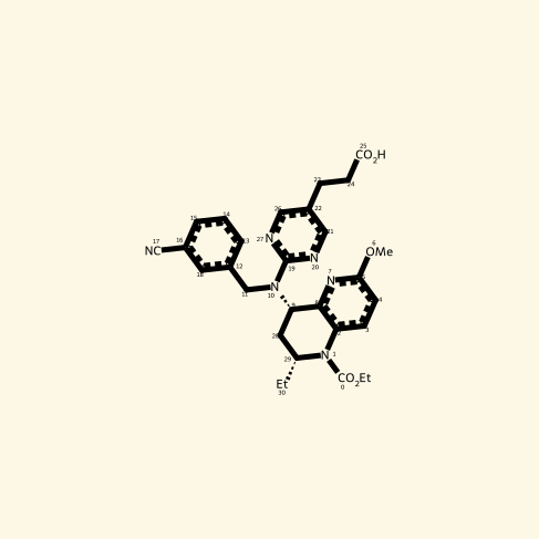 CCOC(=O)N1c2ccc(OC)nc2[C@@H](N(Cc2cccc(C#N)c2)c2ncc(CCC(=O)O)cn2)C[C@H]1CC